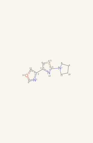 c1nc(-c2csc(N3CCCC3)n2)co1